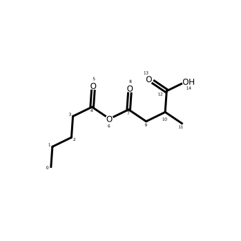 CCCCC(=O)OC(=O)CC(C)C(=O)O